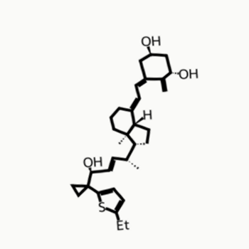 C=C1/C(=C\C=C2/CCC[C@]3(C)[C@@H]([C@H](C)/C=C/[C@H](O)C4(c5ccc(CC)s5)CC4)CC[C@@H]23)C[C@@H](O)C[C@@H]1O